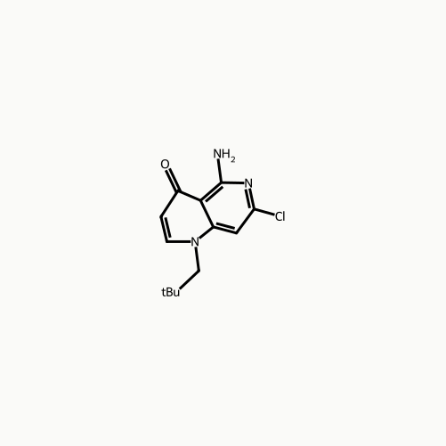 CC(C)(C)Cn1ccc(=O)c2c(N)nc(Cl)cc21